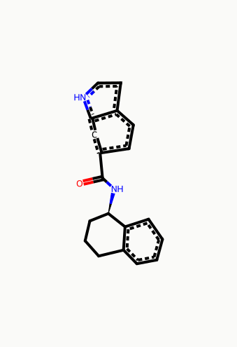 O=C(N[C@@H]1CCCc2ccccc21)c1ccc2cc[nH]c2c1